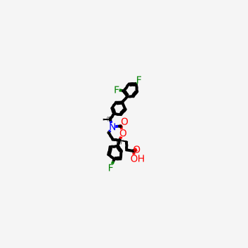 C[C@@H](c1ccc(-c2ccc(F)cc2F)cc1)N1CC[C@@](CCC(=O)O)(c2ccc(F)cc2)OC1=O